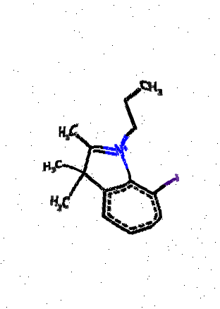 CCC[N+]1=C(C)C(C)(C)c2cccc(I)c21